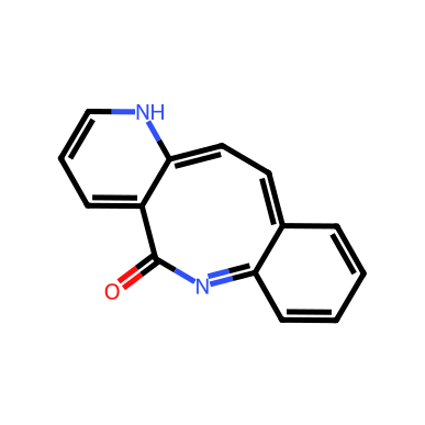 O=C1/N=c2/cccc/c2=C/C=C2/NC=CC=C12